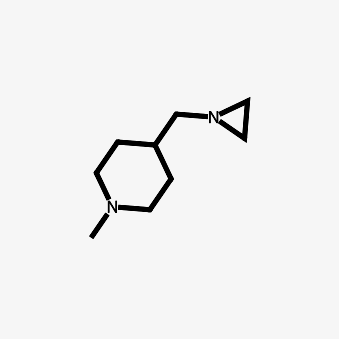 CN1CCC(CN2CC2)CC1